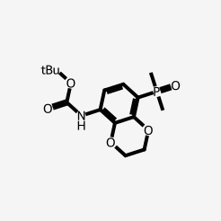 CC(C)(C)OC(=O)Nc1ccc(P(C)(C)=O)c2c1OCCO2